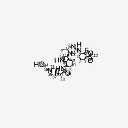 Cc1cnc(Nc2cccc(S(C)(=O)=O)c2F)nc1-c1c[nH]c2c(NC(=O)C(C)N3CCN(CCO)CC3)cccc12